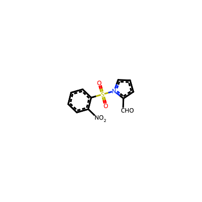 O=Cc1cccn1S(=O)(=O)c1ccccc1[N+](=O)[O-]